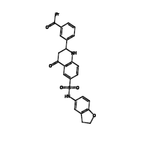 CC(C)C(=O)c1cccc(C2CC(=O)c3cc(S(=O)(=O)Nc4ccc5c(c4)CCO5)ccc3N2)c1